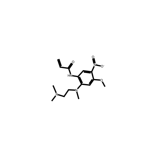 C=CC(=O)Nc1cc([N+](=O)[O-])c(OC)cc1N(C)CCN(C)C